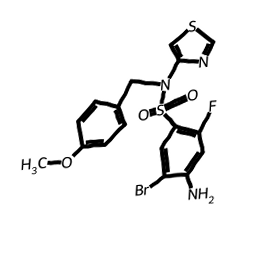 COc1ccc(CN(c2cscn2)S(=O)(=O)c2cc(Br)c(N)cc2F)cc1